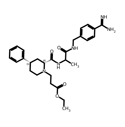 CCOC(=O)CCN1CC[C@H](c2ccccc2)C[C@@H]1C(=O)NC(C)C(=O)NCc1ccc(C(=N)N)cc1